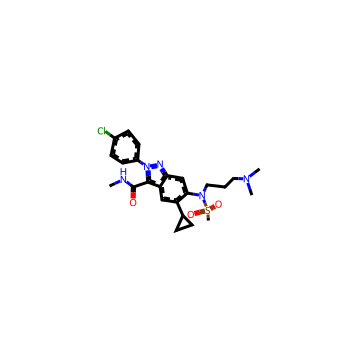 CNC(=O)c1c2cc(C3CC3)c(N(CCCN(C)C)S(C)(=O)=O)cc2nn1-c1ccc(Cl)cc1